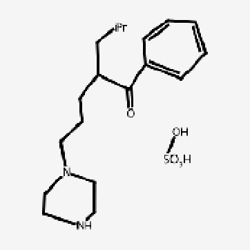 CC(C)CC(CCCN1CCNCC1)C(=O)c1ccccc1.O=S(=O)(O)O